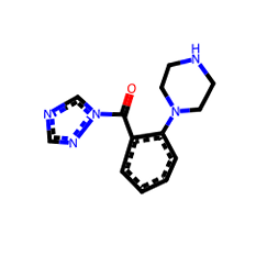 O=C(c1ccccc1N1CCNCC1)n1cncn1